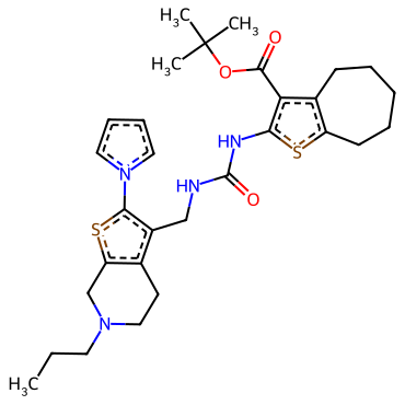 CCCN1CCc2c(sc(-n3cccc3)c2CNC(=O)Nc2sc3c(c2C(=O)OC(C)(C)C)CCCCC3)C1